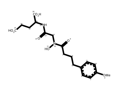 COc1ccc(CCCC(=O)N(O)CC(=O)NC(CCC(=O)O)C(=O)O)cc1